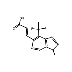 Cn1nnc2c(C(F)(F)F)c(C=CC(=O)O)ccc21